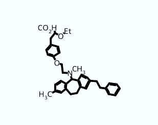 CCOC(Cc1ccc(OCCN(C)C2c3ccc(C)cc3CCc3cc(CCc4ccccc4)ccc32)cc1)C(=O)O